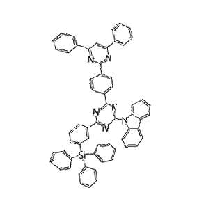 c1ccc(-c2cc(-c3ccccc3)nc(-c3ccc(-c4nc(-c5cccc([Si](c6ccccc6)(c6ccccc6)c6ccccc6)c5)nc(-n5c6ccccc6c6ccccc65)n4)cc3)n2)cc1